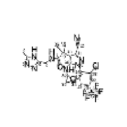 Cc1nnc(CNC(=O)C2(c3c(C#N)nn(-c4c(Cl)cc(S(F)(F)(F)(F)F)cc4Cl)c3NC3CC3)CC2)[nH]1